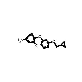 Nc1ccc(Oc2cccc(OCC3CC3)c2)c(Cl)c1